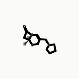 O=C1C[C@@H]2SCC(CN3CCCC3)=CN12